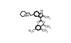 Cc1ccc(C(C)OC(=O)c2c(C)[nH]c3ccc(CCC4CCCCN4)cc23)c(C)c1